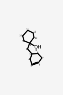 OC1(CC2CC=CCC2)CCCCC1